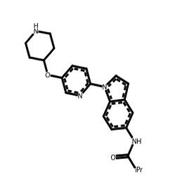 CC(C)C(=O)Nc1ccc2c(ccn2-c2ccc(OC3CCNCC3)cn2)c1